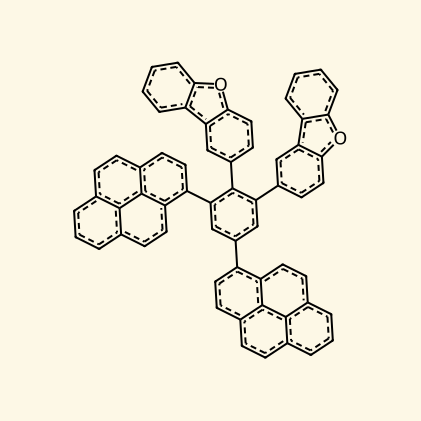 c1cc2ccc3ccc(-c4cc(-c5ccc6oc7ccccc7c6c5)c(-c5ccc6oc7ccccc7c6c5)c(-c5ccc6ccc7cccc8ccc5c6c78)c4)c4ccc(c1)c2c34